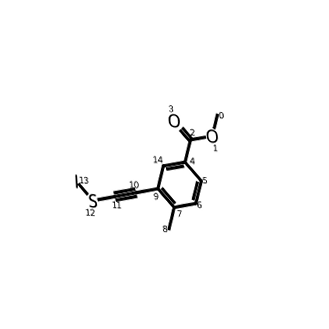 COC(=O)c1ccc(C)c(C#CSI)c1